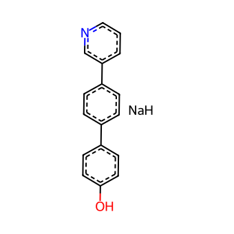 Oc1ccc(-c2ccc(-c3cccnc3)cc2)cc1.[NaH]